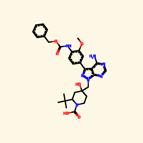 COc1cc(-c2nn(CC3(O)CCN(C(=O)O)C(C(C)(C)C)C3)c3ncnc(N)c23)ccc1NC(=O)OCc1ccccc1